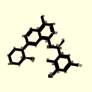 CC[C@@H]1COCCN1c1cc2c(N[C@H](C)c3cc(F)cc(C#N)c3C)nnc(C)c2cn1